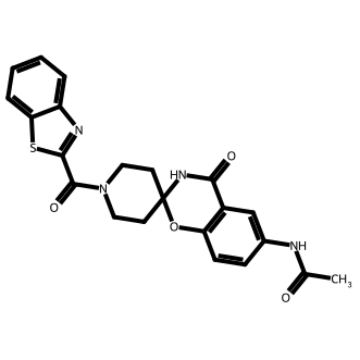 CC(=O)Nc1ccc2c(c1)C(=O)NC1(CCN(C(=O)c3nc4ccccc4s3)CC1)O2